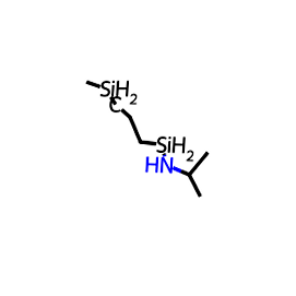 C[SiH2]CCC[SiH2]NC(C)C